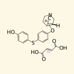 O=C(O)/C=C/C(=O)O.Oc1ccc(Sc2ccc(O[C@H]3CN4CCC3CC4)cc2)cc1